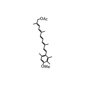 COc1cc(C)c(/C=C/C(C)=C/C=C/C(C)=C/C=C(\C)COC(C)=O)c(C)c1C